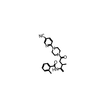 C=C(NC(=O)c1ccccc1C)C(C)CC(=O)N1CCN(c2ccc(C#N)cn2)CC1